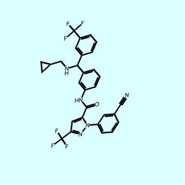 N#Cc1cccc(-n2nc(C(F)(F)F)cc2C(=O)Nc2cccc(C(NCC3CC3)c3cccc(C(F)(F)F)c3)c2)c1